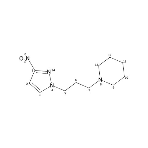 O=[N+]([O-])c1ccn(CCCN2CCCCC2)n1